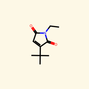 CCN1C(=O)C=C(C(C)(C)C)C1=O